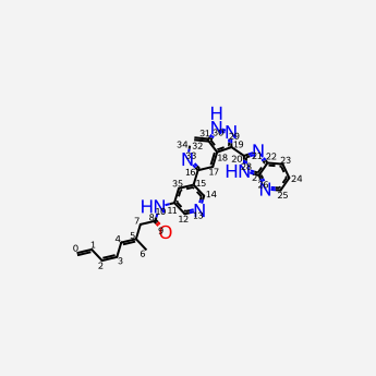 C=C/C=C\C=C(/C)CC(=O)Nc1cncc(C(/C=c2/c(-c3nc4cccnc4[nH]3)n[nH]c2=C)=N/C)c1